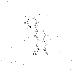 C=C(Cc1ccc(-c2ccccn2)cc1)C(N)=O